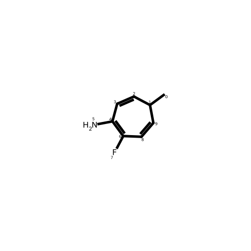 CC1C=CC(N)=C(F)C=C1